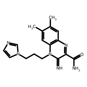 Cc1cc2nc(C(N)=O)c(=N)n(CCCn3ccnc3)c2cc1C